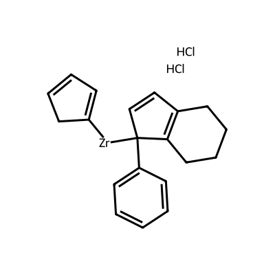 C1=CC[C]([Zr][C]2(c3ccccc3)C=CC3=C2CCCC3)=C1.Cl.Cl